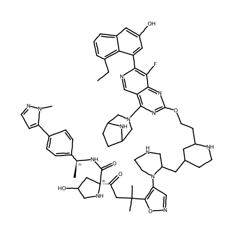 CCc1cccc2cc(O)cc(-c3ncc4c(N5CC6CCC(C5)N6)nc(OCCC5CC(CC6CNCCN6c6cnoc6C(C)(C)CC(=O)[C@@]6(C(=O)N[C@@H](C)c7ccc(-c8ccnn8C)cc7)CC(O)CN6)CCN5)nc4c3F)c12